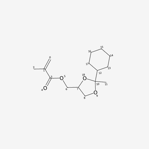 C=C(C)C(=O)OCC1COC(C)(C2CCCCC2)O1